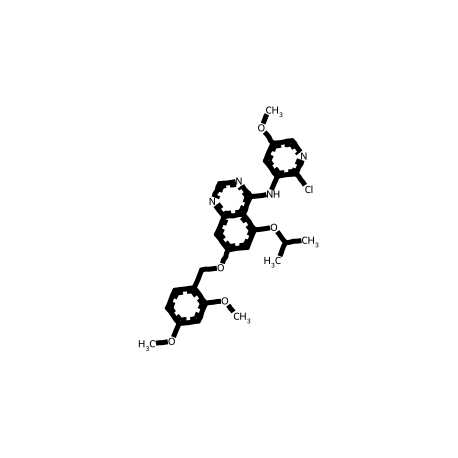 COc1cnc(Cl)c(Nc2ncnc3cc(OCc4ccc(OC)cc4OC)cc(OC(C)C)c23)c1